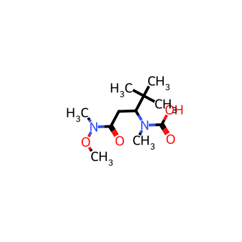 CON(C)C(=O)CC(N(C)C(=O)O)C(C)(C)C